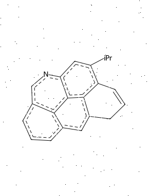 CC(C)c1cc2ncc3cccc4cc5c(c1C=CC5)c2c34